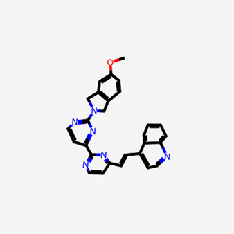 COc1ccc2c(c1)CN(c1nccc(-c3nccc(/C=C/c4ccnc5ccccc45)n3)n1)C2